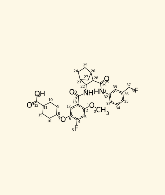 COc1cc(F)c(OC2CCC(C(=O)O)CC2)cc1C(=O)NC1C2CCC(C2)C1C(=O)Nc1cccc(CF)c1